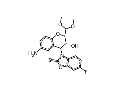 COC(OC)[C@]1(C)Oc2ccc(N)cc2[C@H](n2c(=S)oc3cc(F)ccc32)[C@H]1O